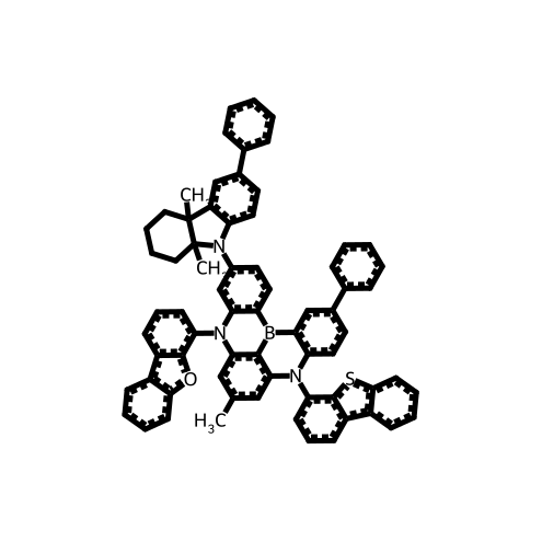 Cc1cc2c3c(c1)N(c1cccc4c1sc1ccccc14)c1ccc(-c4ccccc4)cc1B3c1ccc(N3c4ccc(-c5ccccc5)cc4C4(C)CCCCC34C)cc1N2c1cccc2c1oc1ccccc12